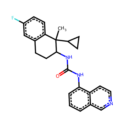 CC1(C2CC2)c2ccc(F)cc2CCC1NC(=O)Nc1cccc2cnccc12